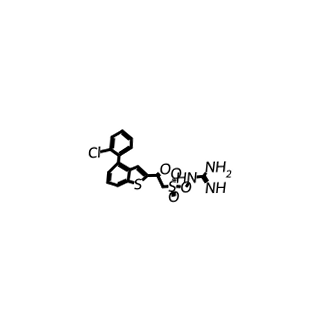 N=C(N)NOS(=O)(=O)CC(=O)c1cc2c(-c3ccccc3Cl)cccc2s1